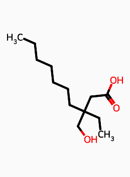 CCCCCCCC(CC)(CO)CC(=O)O